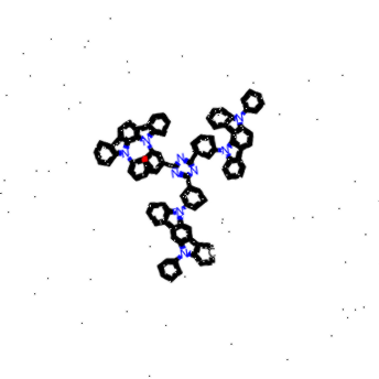 c1ccc(-n2c3ccccc3c3cc4c(cc32)c2ccccc2n4-c2cccc(-c3nc(-c4cccc(-n5c6ccccc6c6ccc7c(c8ccccc8n7-c7ccccc7)c65)c4)nc(-c4cccc(-n5c6ccccc6c6ccc7c8ccccc8n(-c8ccccc8)c7c65)c4)n3)c2)cc1